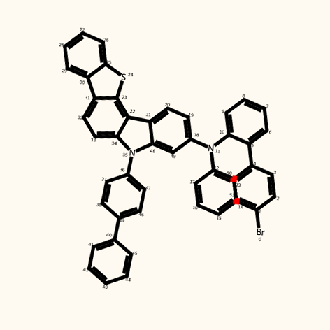 Brc1ccc(-c2ccccc2N(c2ccccc2)c2ccc3c4c5sc6ccccc6c5ccc4n(-c4ccc(-c5ccccc5)cc4)c3c2)cc1